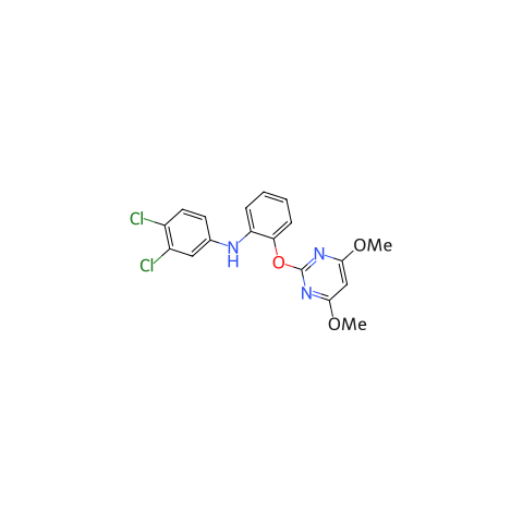 COc1cc(OC)nc(Oc2ccccc2Nc2ccc(Cl)c(Cl)c2)n1